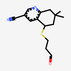 CC1(C)Cc2ncc(C#N)cc2C(SCCC=O)C1